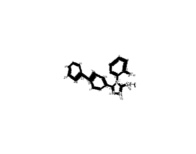 Fc1ccccc1-n1c(S)nnc1-c1ccc(-c2ccccc2)cc1